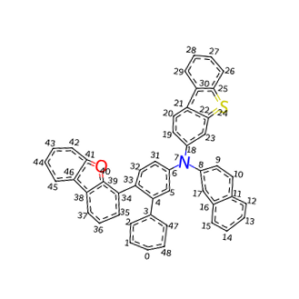 c1ccc(-c2cc(N(c3ccc4ccccc4c3)c3ccc4c(c3)sc3ccccc34)ccc2-c2cccc3c2oc2ccccc23)cc1